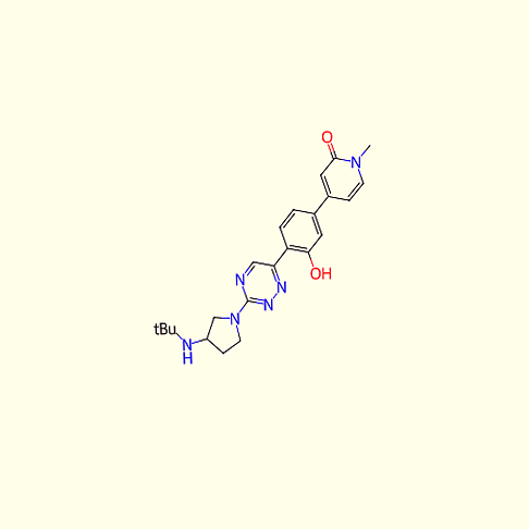 Cn1ccc(-c2ccc(-c3cnc(N4CCC(NC(C)(C)C)C4)nn3)c(O)c2)cc1=O